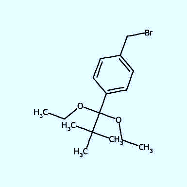 CCOC(OCC)(c1ccc(CBr)cc1)C(C)(C)C